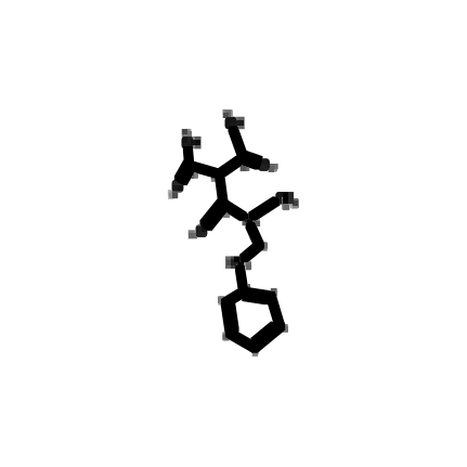 CN(CNc1ccccc1)C(=O)C(C(=O)O)C(=O)O